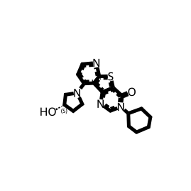 O=c1c2sc3nccc(N4CC[C@H](O)C4)c3c2ncn1C1CCCCC1